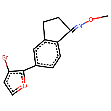 CO/N=C1\CCc2cc(-c3occc3Br)ccc21